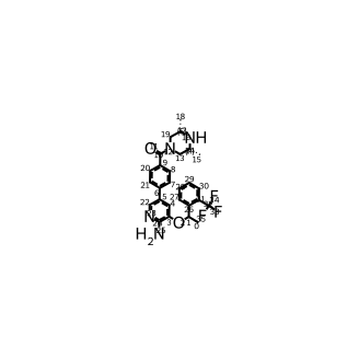 CC(Oc1cc(-c2ccc(C(=O)N3C[C@@H](C)N[C@@H](C)C3)cc2)cnc1N)c1ccccc1C(F)(F)F